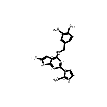 COc1ccc(CNc2nc(-n3ccnc3C)nc3sc(C)cc23)cc1OC